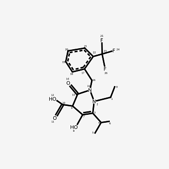 CCN1C(C(C)C)=C(O)C(C(=O)O)C(=O)N1Cc1ccccc1C(F)(F)F